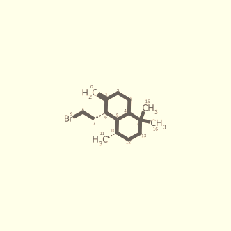 C=C1CCC2C([C@@H]1CCBr)[C@@H](C)CCC2(C)C